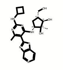 Cc1nc(NC2CCC2)nc(N[C@@H]2C[C@H](CO)[C@@H](O)[C@@]2(C)O)c1-c1nc2cnccc2s1